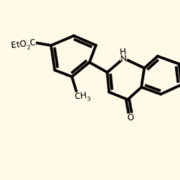 CCOC(=O)c1ccc(-c2cc(=O)c3ccccc3[nH]2)c(C)c1